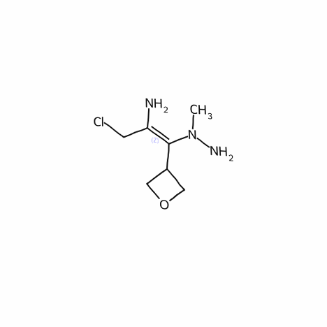 CN(N)/C(=C(\N)CCl)C1COC1